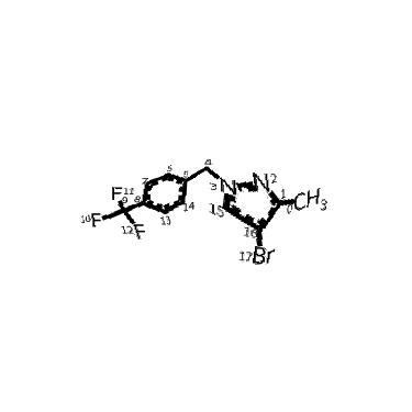 Cc1nn(Cc2ccc(C(F)(F)F)cc2)cc1Br